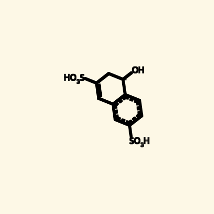 O=S(=O)(O)C1=Cc2cc(S(=O)(=O)O)ccc2[C](O)C1